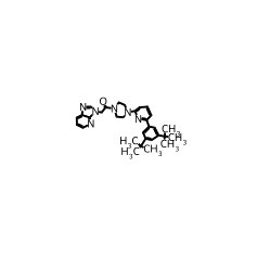 CC(C)(C)c1cc(-c2cccc(N3CCN(C(=O)Cn4cnc5cccnc54)CC3)n2)cc(C(C)(C)C)c1